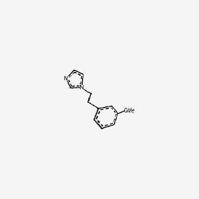 COc1cccc(CCn2[c]ncc2)c1